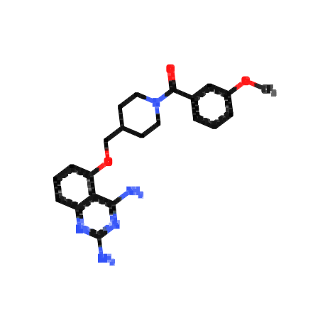 Nc1nc(N)c2c(OCC3CCN(C(=O)c4cccc(OC(F)(F)F)c4)CC3)cccc2n1